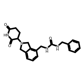 O=C1CCC(N2Cc3cccc(CNC(=O)NCc4ccccc4)c3C2)C(=O)N1